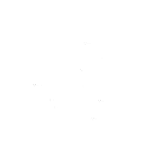 CCC1c2c(cc(OC)c(O)c2-c2cc(OC)c(OC)cc2C)CCN1CCOc1ccccc1OC